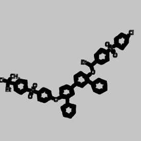 CCC(Oc1ccc(-c2ccc(Oc3ccc(S(=O)(=O)c4ccc(C(C)(Cl)CC)cc4)cc3)c(-c3ccccc3)c2)cc1-c1ccccc1)c1ccc(S(=O)(=O)c2ccc(Cl)cc2)cc1